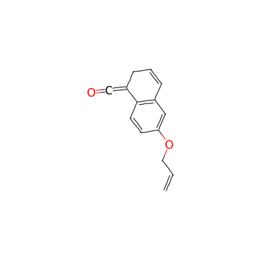 C=CCOc1ccc2c(c1)C=CCC2=C=O